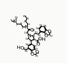 CCCCN(CCCN(C)C)C(=O)CN1C[C@H](c2cc(CO)c3c(c2)OCO3)[C@@H](C(=O)O)[C@@H]1CCc1cccc2c1OCO2